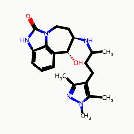 Cc1nn(C)c(C)c1CCC(C)N[C@@H]1CCn2c(=O)[nH]c3cccc(c32)[C@H]1O